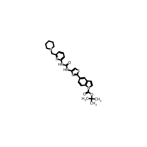 CC(C)(C)OC(=O)n1ccc2cc(-c3nc(NC(=O)Nc4cccc(CN5CCCCC5)n4)cs3)ccc21